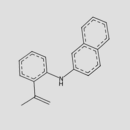 C=C(C)c1ccccc1Nc1ccc2ccccc2c1